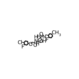 Cc1ccc(F)c(CNC(=O)[C@@H]2C[C@H](NC(=O)COc3ccc(Cl)c(F)c3)C3CC2C3)c1